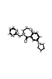 O=C1c2cc(N3CCCC3)ccc2OCCN1Cc1ncccn1